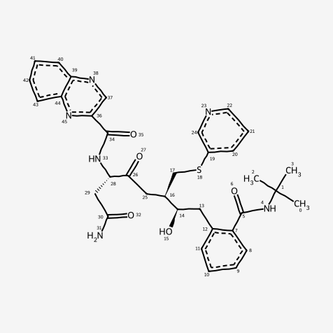 CC(C)(C)NC(=O)c1ccccc1C[C@@H](O)[C@H](CSc1cccnc1)CC(=O)[C@H](CC(N)=O)NC(=O)c1cnc2ccccc2n1